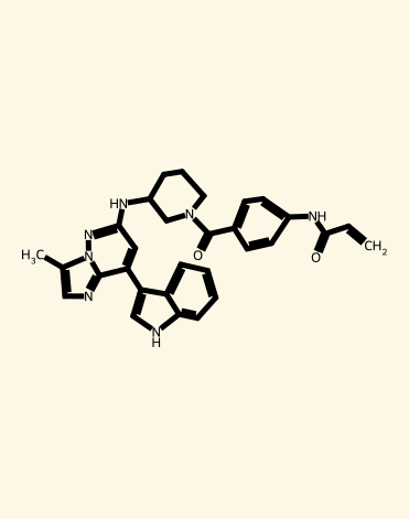 C=CC(=O)Nc1ccc(C(=O)N2CCCC(Nc3cc(-c4c[nH]c5ccccc45)c4ncc(C)n4n3)C2)cc1